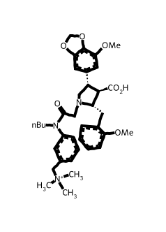 CCCCN(C(=O)CN1C[C@H](c2cc(OC)c3c(c2)OCO3)[C@@H](C(=O)O)[C@@H]1Cc1ccccc1OC)c1cccc(C[N+](C)(C)C)c1